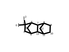 IC1(I)CC2CC1C1C3CCC(C3)C21